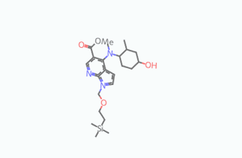 COC(=O)c1cnc2c(ccn2COCC[Si](C)(C)C)c1N(C)C1CCC(O)CC1C